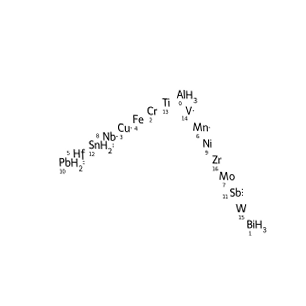 [AlH3].[BiH3].[Cr].[Cu].[Fe].[Hf].[Mn].[Mo].[Nb].[Ni].[PbH2].[Sb].[SnH2].[Ti].[V].[W].[Zr]